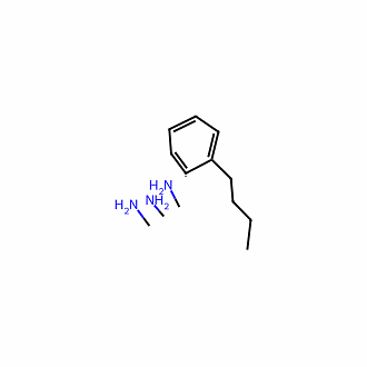 CCCCc1[c]cccc1.CN.CN.CN